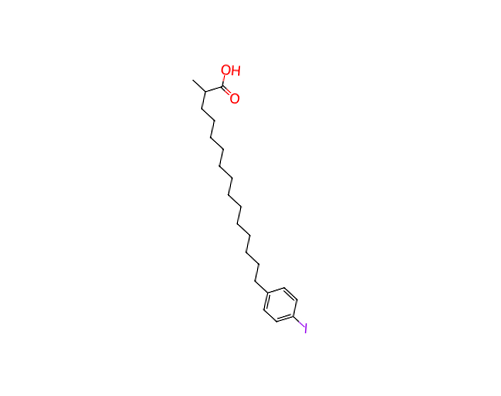 CC(CCCCCCCCCCCCCc1ccc(I)cc1)C(=O)O